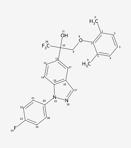 Cc1cccc(C)c1OCC(O)(c1ccc2c(cnn2-c2ccc(F)cc2)c1)C(F)(F)F